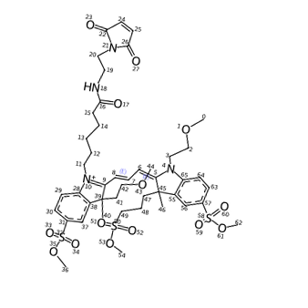 COCCN1/C(=C/C=C/C2=[N+](CCCCCC(=O)NCCN3C(=O)C=CC3=O)c3ccc(S(=O)(=O)OC)cc3C2(C)CCOC)C(C)(CCCS(=O)(=O)OC)c2cc(S(=O)(=O)OC)ccc21